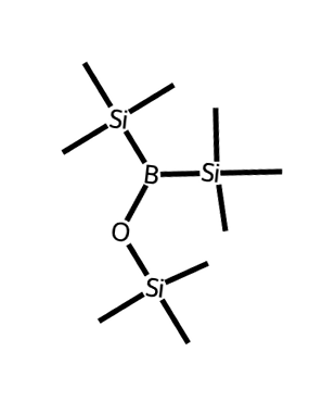 C[Si](C)(C)OB([Si](C)(C)C)[Si](C)(C)C